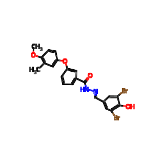 COc1ccc(Oc2cccc(C(=O)NN=Cc3cc(Br)c(O)c(Br)c3)c2)cc1C